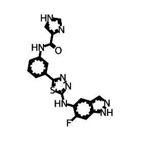 O=C(Nc1cccc(-c2nnc(Nc3cc4cn[nH]c4cc3F)s2)c1)c1c[nH]cn1